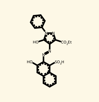 CCOC(=O)c1nn(-c2ccccc2)c(O)c1N=Nc1c(O)cc2ccccc2c1S(=O)(=O)O